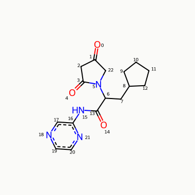 O=C1CC(=O)N(C(CC2CCCC2)C(=O)Nc2cnccn2)C1